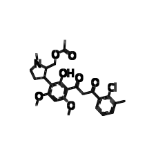 COc1cc(OC)c(C2CCN(C)C2COC(C)=O)c(O)c1C(=O)CC(=O)c1cccc(C)c1Cl